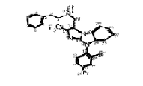 CCN(CCc1ccccc1)CC1C(C(F)(F)F)N=C2N(c3ccc(C(C)C)cc3Br)c3ccccc3N21